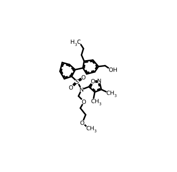 CCCc1cc(CO)ccc1-c1ccccc1S(=O)(=O)N(COCCOC)c1onc(C)c1C